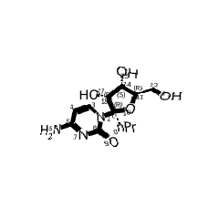 CCC[C@@]1(n2ccc(N)nc2=O)O[C@H](CO)[C@@H](O)[C@H]1O